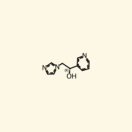 O[C@@H](Cn1ccnc1)c1cccnc1